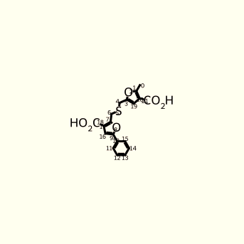 Cc1oc(CSCc2oc(-c3ccccc3)cc2C(=O)O)cc1C(=O)O